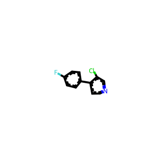 Fc1ccc(-c2ccncc2Cl)cc1